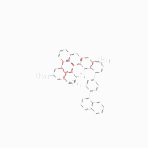 CC(C)(C)c1cc(-c2cccc3cccc(-c4ccccc4N(c4cc(-c5cccc6ccccc56)ccc4-c4ccccc4)c4cc(C(C)(C)C)ccc4-c4ccccc4)c23)cc(C(C)(C)C)c1